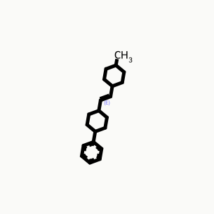 CC1CCC(/C=C/C2CCC(c3ccccc3)CC2)CC1